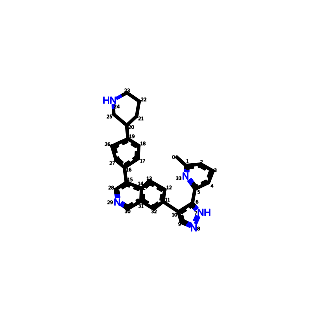 Cc1cccc(-c2[nH]ncc2-c2ccc3c(-c4ccc(C5CCCNC5)cc4)cncc3c2)n1